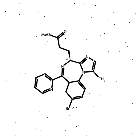 COC(=O)CC[C@@H]1N=C(c2ccccn2)C2CC(Br)=CC=C2n2c(C)cnc21